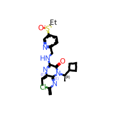 C=C(Cl)/N=C1\C(=C/C)N=C(NCc2ccc([S+]([O-])CC)cn2)C(=O)N1[C@H](C)C1CCC1